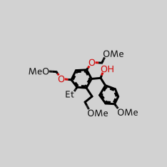 CCc1c(OCOC)cc(OCOC)c(C(O)c2ccc(OC)cc2)c1CCOC